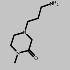 CN1CCN(CCCN)CC1=O